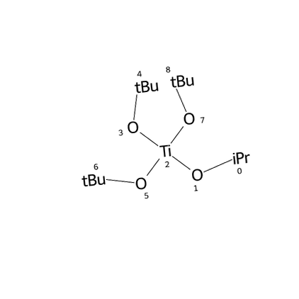 CC(C)[O][Ti]([O]C(C)(C)C)([O]C(C)(C)C)[O]C(C)(C)C